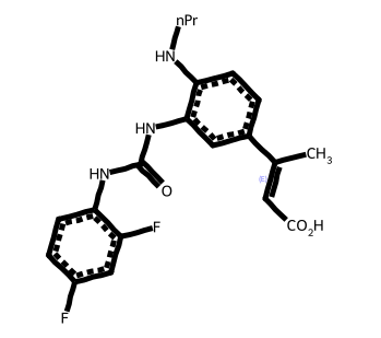 CCCNc1ccc(/C(C)=C/C(=O)O)cc1NC(=O)Nc1ccc(F)cc1F